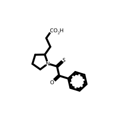 O=C(O)CCC1CCCN1C(=S)C(=O)c1ccccc1